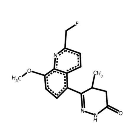 COc1ccc(C2=NNC(=O)CC2C)c2ccc(CF)nc12